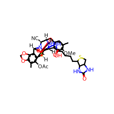 COc1c(C)cc2c(c1O)[C@H]1N[C@H](C2)[C@H](C#N)N2C1[C@@H]1SC[C@H](NC(=O)CCCCC3SCC4NC(=O)NC43)C(=O)OC[C@H]2c2c3c(c(C)c(OC(C)=O)c21)OCO3